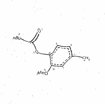 CCCCC(=O)Oc1ccc(C)cc1OC